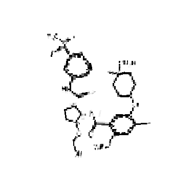 COc1cc(F)c(O[C@H]2CC[C@@](C)(C(=O)O)CC2)cc1C(=O)N[C@@H]1[C@@H](OCO)CC[C@@H]1C(=O)Nc1cccc(S(=O)(=O)C(F)(F)F)c1